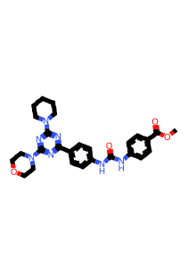 COC(=O)c1ccc(NC(=O)Nc2ccc(-c3nc(N4CCCCC4)nc(N4CCOCC4)n3)cc2)cc1